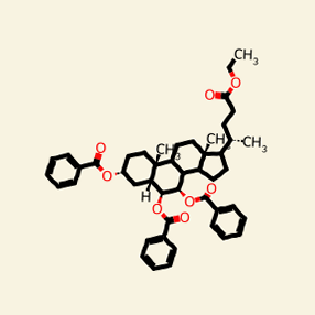 CCOC(=O)CC[C@H](C)C1CCC2C3C(CC[C@@]21C)[C@@]1(C)CC[C@@H](OC(=O)c2ccccc2)C[C@H]1[C@H](OC(=O)c1ccccc1)[C@@H]3OC(=O)c1ccccc1